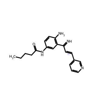 CCCCC(=O)Nc1ccc(N)c(C(=N)/C=C/c2cccnc2)c1